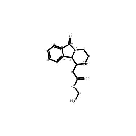 CCOC(=O)CC1NCCN2C(=O)c3ccccc3C12